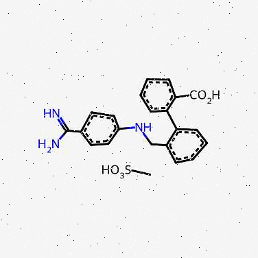 CS(=O)(=O)O.N=C(N)c1ccc(NCc2ccccc2-c2ccccc2C(=O)O)cc1